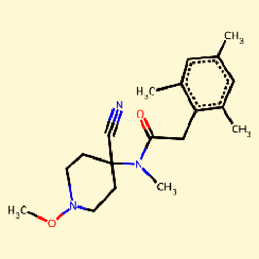 CON1CCC(C#N)(N(C)C(=O)Cc2c(C)cc(C)cc2C)CC1